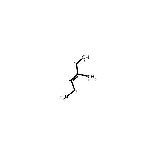 C/C(=C\CN)CO